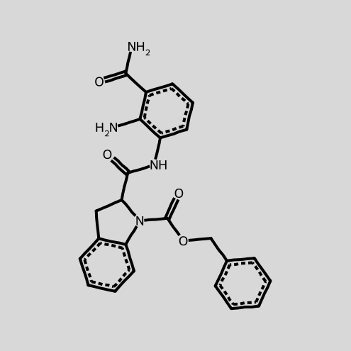 NC(=O)c1cccc(NC(=O)C2Cc3ccccc3N2C(=O)OCc2ccccc2)c1N